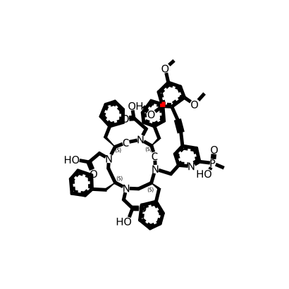 COc1cc(OC)c(C#Cc2cc(CN3C[C@H](Cc4ccccc4)N(CC(=O)O)C[C@H](Cc4ccccc4)N(CC(=O)O)C[C@H](Cc4ccccc4)N(CC(=O)O)C[C@@H]3Cc3ccccc3)nc(P(C)(=O)O)c2)c(OC)c1